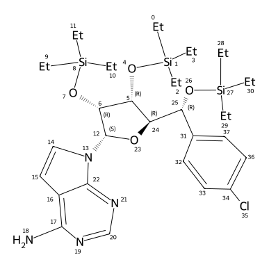 CC[Si](CC)(CC)O[C@H]1[C@@H](O[Si](CC)(CC)CC)[C@@H](n2ccc3c(N)ncnc32)O[C@@H]1[C@H](O[Si](CC)(CC)CC)c1ccc(Cl)cc1